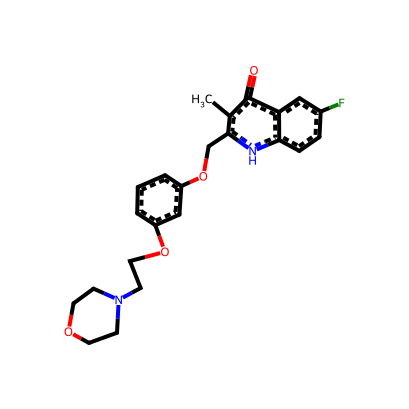 Cc1c(COc2cccc(OCCN3CCOCC3)c2)[nH]c2ccc(F)cc2c1=O